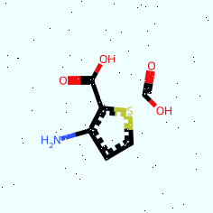 Nc1ccsc1C(=O)O.O=CO